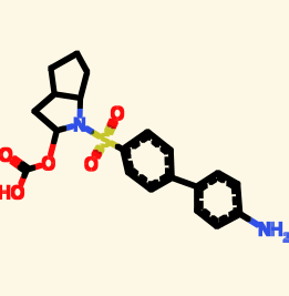 Nc1ccc(-c2ccc(S(=O)(=O)N3C(OC(=O)O)CC4CCCC43)cc2)cc1